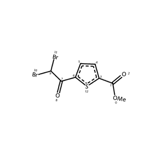 COC(=O)c1ccc(C(=O)C(Br)Br)s1